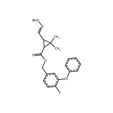 CC(C)CON=CC1C(C(=O)OCc2ccc(F)c(Oc3ccccc3)c2)C1(C)C